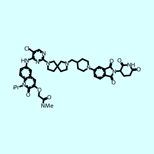 CNC(=O)COc1cc2cc(Nc3nc(N4CCC5(CCN(CC6CCN(c7ccc8c(c7)C(=O)N(C7CCC(=O)NC7=O)C8=O)CC6)C5)C4)ncc3Cl)ccc2n(C(C)C)c1=O